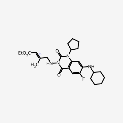 CCOC(=O)/C=C(\C)CNn1c(=O)c2cc(F)c(NC3CCCCC3)cc2n(C2CCCC2)c1=O